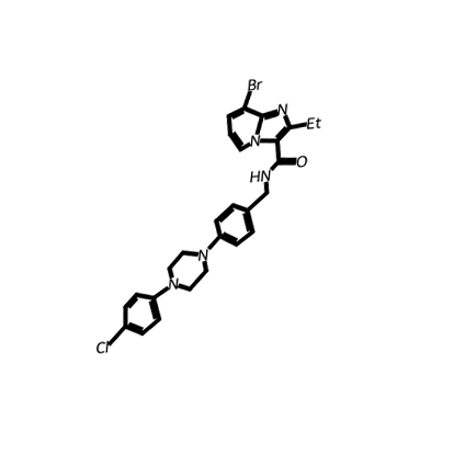 CCc1nc2c(Br)cccn2c1C(=O)NCc1ccc(N2CCN(c3ccc(Cl)cc3)CC2)cc1